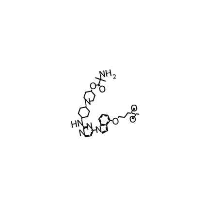 CC(C)(N)C(=O)OC1CCN(C2CCC(Nc3nccc(-n4ccc5c(OCCCS(C)(=O)=O)cccc54)n3)CC2)CC1